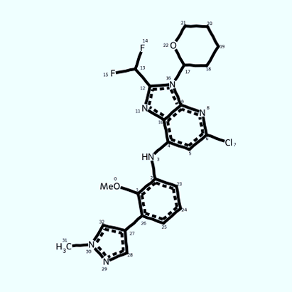 COc1c(Nc2cc(Cl)nc3c2nc(C(F)F)n3C2CCCCO2)cccc1-c1cnn(C)c1